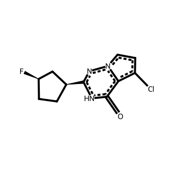 O=c1[nH]c([C@H]2CC[C@@H](F)C2)nn2ccc(Cl)c12